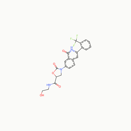 O=C(NCCO)C1CN(c2ccc3cc(-c4ccccc4C(F)(F)F)[nH]c(=O)c3c2)C(=O)O1